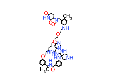 Cc1ccc(NCCOCCOCCCCCCOc2cccc(C(C)NC(=O)c3cccc(NC4(C(=N)NC(=N)c5ccncn5)CCNCC4)c3)c2)cc1CN(C=O)C1CCC(=O)NC1=O